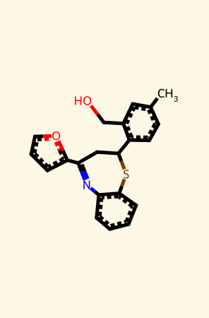 Cc1ccc(C2CC(c3ccco3)=Nc3ccccc3S2)c(CO)c1